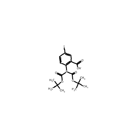 CC(C)(C)OC(=O)N(C(=O)OC(C)(C)C)c1ccc(I)cc1C(=O)O